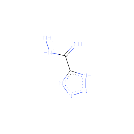 N=C(NN)c1nnn[nH]1